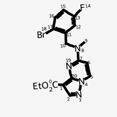 CCOC(=O)c1cnn2ccc(N(C)Cc3cc(F)ccc3Br)nc12